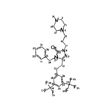 CN1CCN(CCCn2nc(CCc3cc(C(F)(F)F)cc(C(F)(F)F)c3)n(Cc3ccccc3)c2=O)CC1